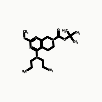 CCCN(CCC)c1nc(SC)nc2c1CCN(C(=O)OC(C)(C)C)C2